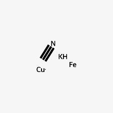 C#N.[Cu].[Fe].[KH]